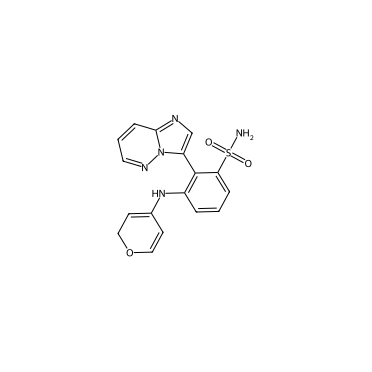 NS(=O)(=O)c1cccc(NC2=CCOC=C2)c1-c1cnc2cccnn12